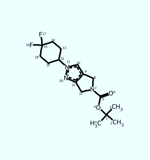 CC(C)(C)OC(=O)N1Cc2cn(C3CCC(F)(F)CC3)nc2C1